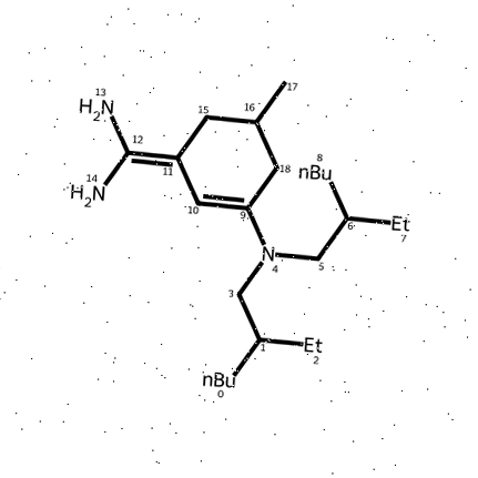 CCCCC(CC)CN(CC(CC)CCCC)C1=CC(=C(N)N)CC(C)C1